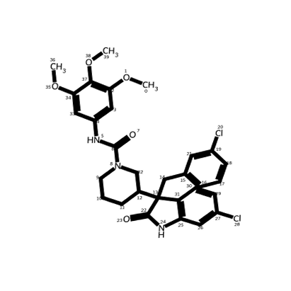 COc1cc(NC(=O)N2CCCC(C3(Cc4cccc(Cl)c4)C(=O)Nc4cc(Cl)ccc43)C2)cc(OC)c1OC